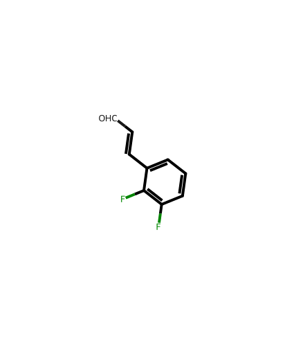 O=CC=Cc1cccc(F)c1F